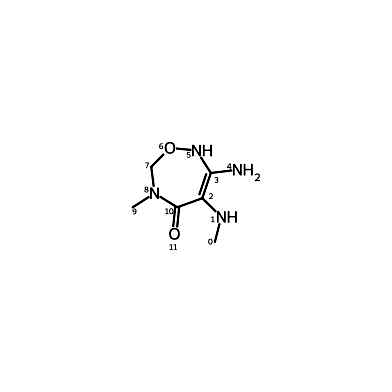 CNC1=C(N)NOCN(C)C1=O